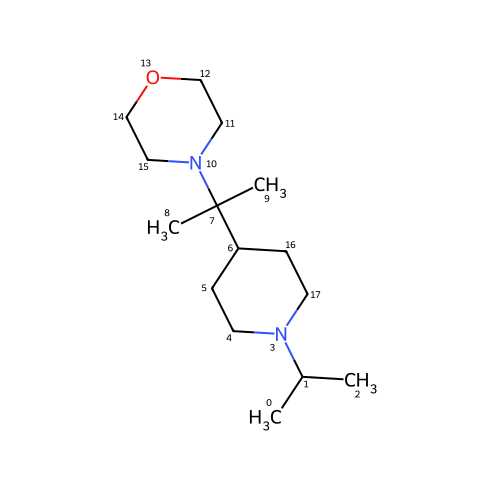 CC(C)N1CCC(C(C)(C)N2CCOCC2)CC1